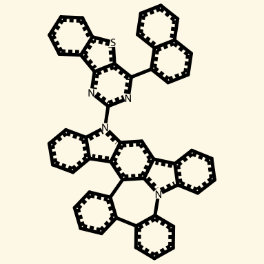 c1ccc2c(c1)-c1ccccc1-n1c3ccccc3c3cc4c(c-2c31)c1ccccc1n4-c1nc(-c2cccc3ccccc23)c2sc3ccccc3c2n1